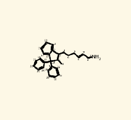 CC1C(CCC/C=C/CN)c2ccccc2C1(c1ccccc1)c1ccccc1